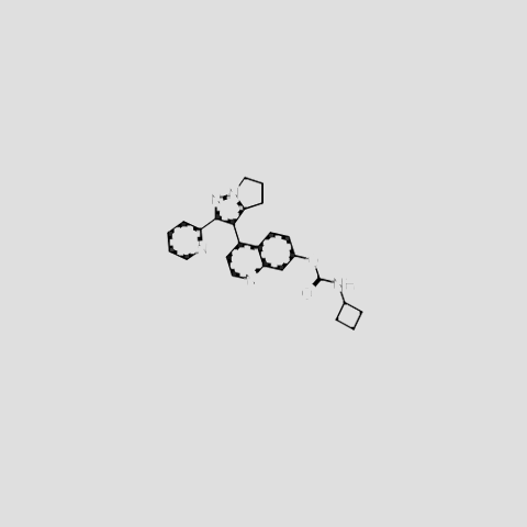 O=C(NC1CCC1)Oc1ccc2c(-c3c(-c4ccccn4)nn4c3CCC4)ccnc2c1